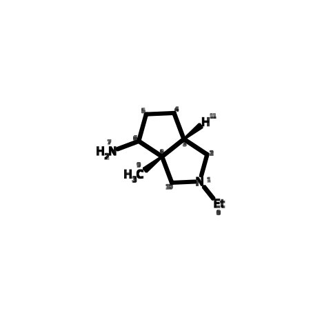 CCN1C[C@H]2CCC(N)[C@@]2(C)C1